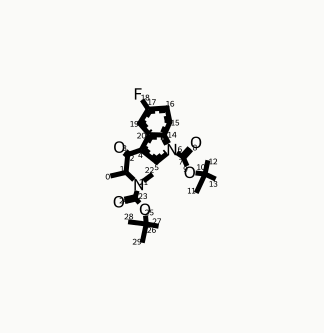 CC(C(=O)c1cn(C(=O)OC(C)(C)C)c2ccc(F)cc12)N(C)C(=O)OC(C)(C)C